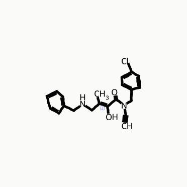 C#CN(Cc1ccc(Cl)cc1)C(=O)/C(O)=C(\C)CNCc1ccccc1